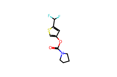 O=C(Oc1csc(C(F)F)c1)N1CCCC1